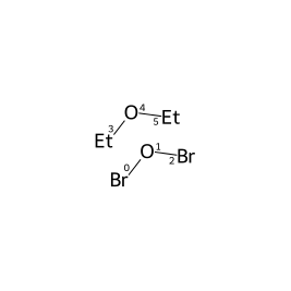 BrOBr.CCOCC